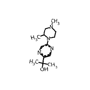 CC1CN(C)CCN1c1cnc(C(C)(C)O)cn1